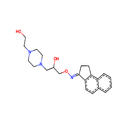 OCCN1CCN(CC(O)CON=C2CCc3c2ccc2ccccc32)CC1